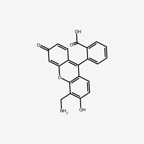 NCc1c(O)ccc2c(-c3ccccc3C(=O)O)c3ccc(=O)cc-3oc12